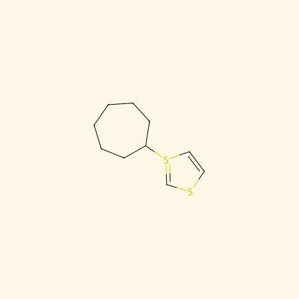 C1=CS(C2CCCCCC2)=CS1